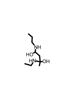 CCCNC(O)CC(C)(O)NCC